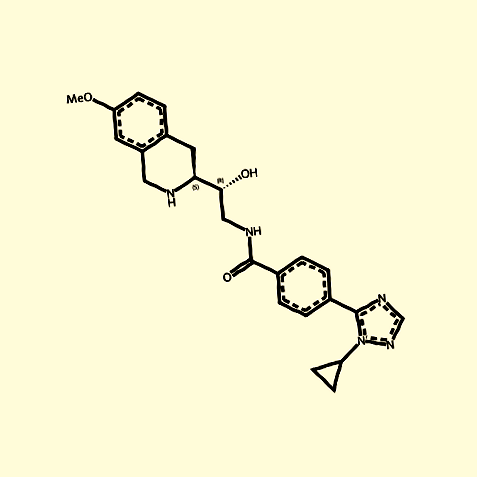 COc1ccc2c(c1)CN[C@H]([C@H](O)CNC(=O)c1ccc(-c3ncnn3C3CC3)cc1)C2